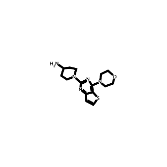 NC1CCN(c2nc(N3CCOCC3)c3sccc3n2)CC1